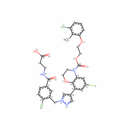 Cc1c(Cl)cccc1OCCOC(=O)N1CCOc2c(-c3cnn(Cc4cc(C(=O)NCCC(=O)O)ccc4Cl)c3)cc(F)cc21